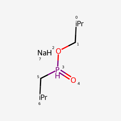 CC(C)CO[PH](=O)CC(C)C.[NaH]